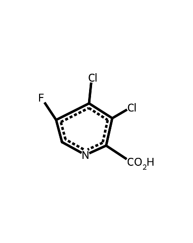 O=C(O)c1ncc(F)c(Cl)c1Cl